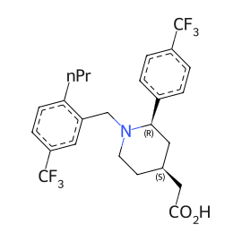 CCCc1ccc(C(F)(F)F)cc1CN1CC[C@H](CC(=O)O)C[C@@H]1c1ccc(C(F)(F)F)cc1